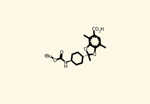 Cc1cc(C(=O)O)c(C)c2c1OC(C)([C@H]1CC[C@H](NC(=O)OC(C)(C)C)CC1)O2